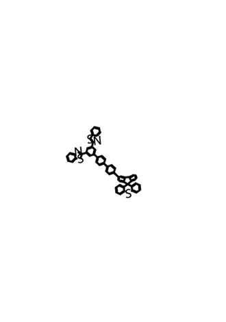 c1ccc2c(c1)Sc1ccccc1C21c2ccccc2-c2cc(-c3ccc(-c4ccc(-c5cc(-c6nc7ccccc7s6)cc(-c6nc7ccccc7s6)c5)cc4)cc3)ccc21